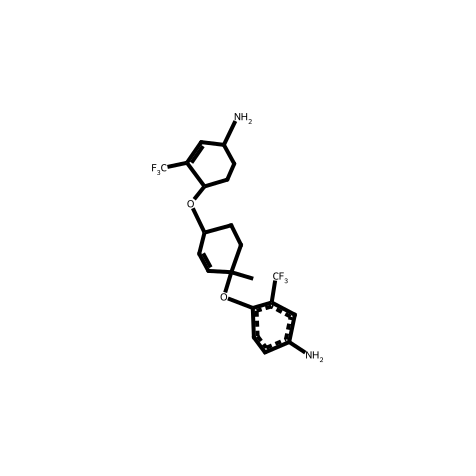 CC1(Oc2ccc(N)cc2C(F)(F)F)C=CC(OC2CCC(N)C=C2C(F)(F)F)CC1